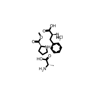 COC(=O)[C@@H]1CCCN1.C[C@H](N)C(=O)O.Cl.N[C@@H](Cc1ccccc1)C(=O)O